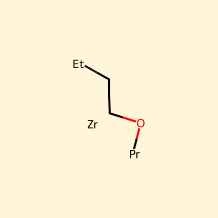 CCCC[O][Pr].[Zr]